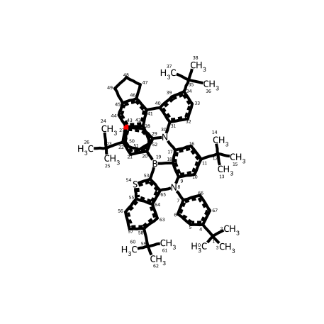 CC(C)(C)c1ccc(N2c3cc(C(C)(C)C)cc4c3B(c3cc(C(C)(C)C)ccc3N4c3ccc(C(C)(C)C)cc3-c3c4c(cc5c3CCC5)CCC4)c3sc4ccc(C(C)(C)C)cc4c32)cc1